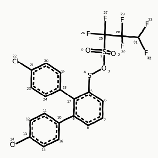 O=S(=O)(OSc1cccc(-c2ccc(Cl)cc2)c1-c1ccc(Cl)cc1)C(F)(F)C(F)(F)C(F)F